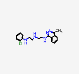 Cc1nnc(NCCNCCNc2ccccc2Cl)c2ccccc12